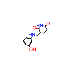 O=C1CCC(CNc2cccc(O)c2)C(=O)N1